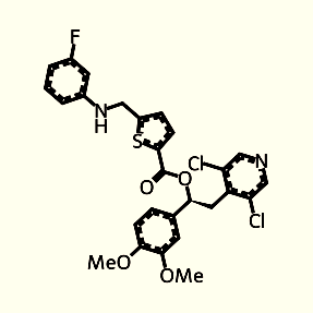 COc1ccc([C@H](Cc2c(Cl)cncc2Cl)OC(=O)c2ccc(CNc3cccc(F)c3)s2)cc1OC